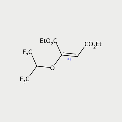 CCOC(=O)/C=C(/OC(C(F)(F)F)C(F)(F)F)C(=O)OCC